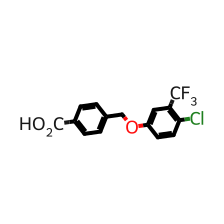 O=C(O)c1ccc(COc2ccc(Cl)c(C(F)(F)F)c2)cc1